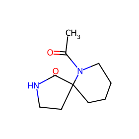 CC(=O)N1CCCCC12CCNC2=O